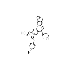 Cn1cc(-c2cc(C(=O)O)c(OCc3ccc(F)cc3)cc2C(=O)N2CCOCC2)cn1